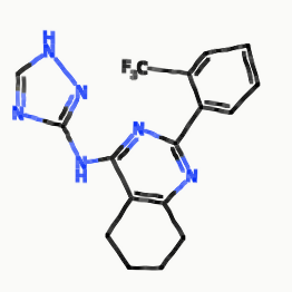 FC(F)(F)c1ccccc1-c1nc2c(c(Nc3nc[nH]n3)n1)CCCC2